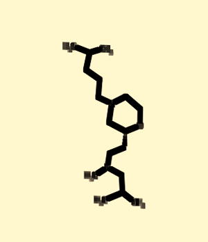 CC(C)CCCN1CCO[C@H](CCN(C)CC(C)C)C1